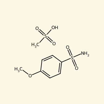 COc1ccc(S(N)(=O)=O)cc1.CS(=O)(=O)O